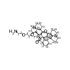 NCCOCCOCCN1C(=O)c2ccccc2C12c1cc3c4c(c1Oc1c2cc2c5c1CCCN5CCC2)CCCN4CCC3